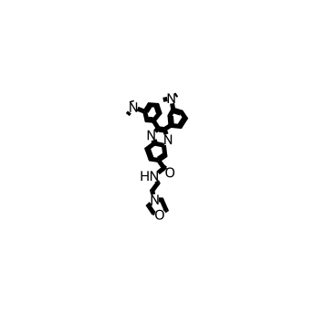 CN(C)c1cccc(-c2nc3ccc(C(=O)NCCN4CCOCC4)cc3nc2-c2cccc(N(C)C)c2)c1